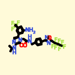 CC(C)Nc1ncc(-c2cc(N)cc(C(F)(F)F)c2)n(CC(=O)NCc2ccc(-c3noc(C(F)(F)C(F)(F)C(F)(F)F)n3)cc2)c1=O